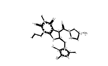 CCCn1c2c(c(=O)n(C)c1=O)C(C(=O)N1C[C@H](O)CO1)C(Cn1c(C)nc(Cl)c1Cl)S2